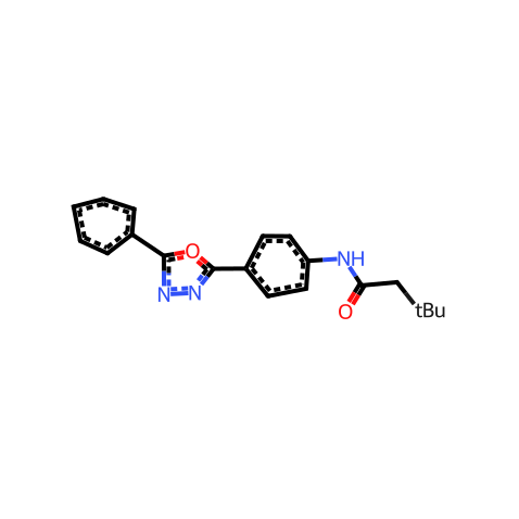 CC(C)(C)CC(=O)Nc1ccc(-c2nnc(-c3ccccc3)o2)cc1